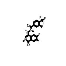 C[C@@H](c1cn(C)c(=O)c2cc(F)c(F)cc12)N(C)C(=O)c1ccc(C(F)(F)F)c(F)c1